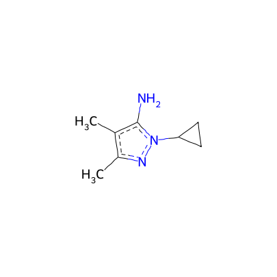 Cc1nn(C2CC2)c(N)c1C